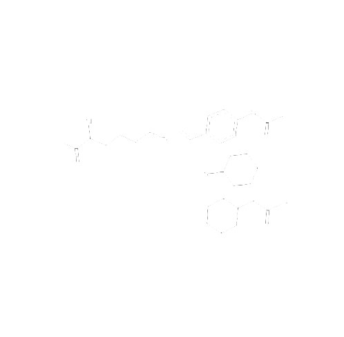 CC(=O)Nc1ccc(C=O)cc1.NC1CCCCC1.NCCCCC(N)C(=O)O.O=C(O)CC1CCCCC1